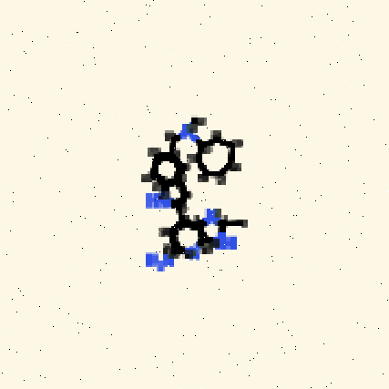 Cc1nc2c(-c3cc4cc(CN(C)C5CCCCCC5)ccc4[nH]3)cc(N)nc2[nH]1